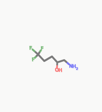 NCC(O)CCC(F)(F)F